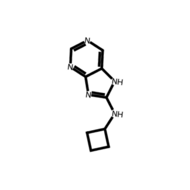 c1ncc2[nH]c(NC3CCC3)nc2n1